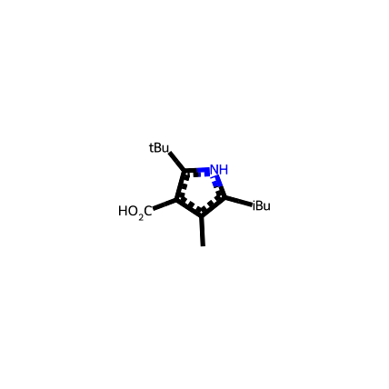 CCC(C)c1[nH]c(C(C)(C)C)c(C(=O)O)c1C